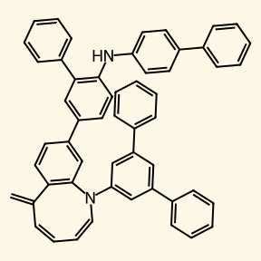 C=C1/C=C\C=C/N(c2cc(-c3ccccc3)cc(-c3ccccc3)c2)c2cc(-c3ccc(Nc4ccc(-c5ccccc5)cc4)c(-c4ccccc4)c3)ccc21